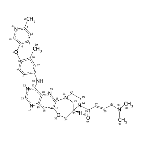 Cc1ccc(Oc2ccc(Nc3ncnc4cc5c(nc34)N3CCN(C(=O)/C=C/CN(C)C)[C@H](CO5)C3)cc2C)cn1